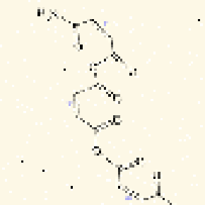 NC(=O)/C=C\C(=O)OC(=O)/C=C\C(=O)OC(=O)/C=C\C(N)=O